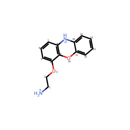 NCCOc1cccc2c1Oc1ccccc1N2